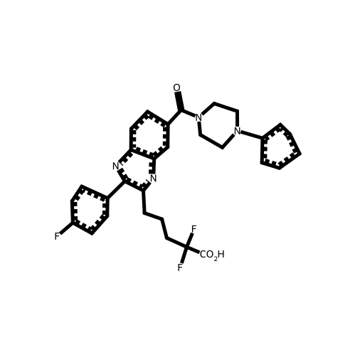 O=C(c1ccc2nc(-c3ccc(F)cc3)c(CCCC(F)(F)C(=O)O)nc2c1)N1CCN(c2ccccc2)CC1